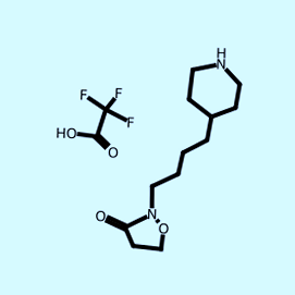 O=C(O)C(F)(F)F.O=C1CCON1CCCCC1CCNCC1